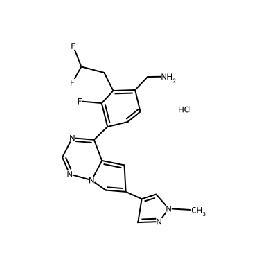 Cl.Cn1cc(-c2cc3c(-c4ccc(CN)c(CC(F)F)c4F)ncnn3c2)cn1